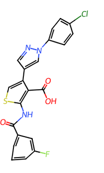 O=C(Nc1scc(-c2cnn(-c3ccc(Cl)cc3)c2)c1C(=O)O)c1cccc(F)c1